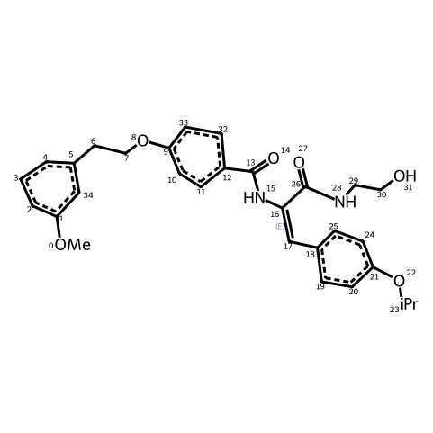 COc1cccc(CCOc2ccc(C(=O)N/C(=C/c3ccc(OC(C)C)cc3)C(=O)NCCO)cc2)c1